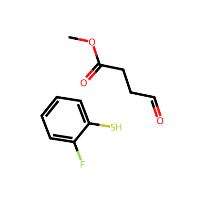 COC(=O)CCC=O.Fc1ccccc1S